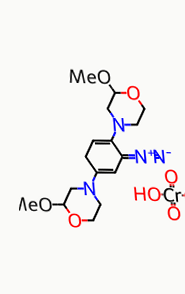 COC1CN(C2=CC(=[N+]=[N-])C(N3CCOC(OC)C3)=CC2)CCO1.[O]=[Cr](=[O])([OH])[OH]